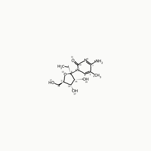 CC[C@@]1(n2cc(C)c(N)nc2=O)O[C@H](CO)[C@@H](O)[C@H]1O